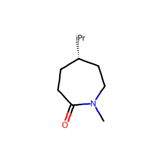 CC(C)[C@H]1CCC(=O)N(C)CC1